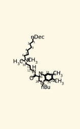 CCCCCCCCCCCCCCCC[N+](C)(C)CCCNC(=O)C1=Nc2cc(C)c(C)cc2N(CCCC)C1